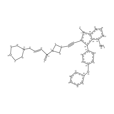 Cn1c(C#CC2CN(C(=O)/C=C/CN3CCOCC3)C2)c(-c2ccc(Oc3ccccc3)cc2)c2c(N)ncnc21